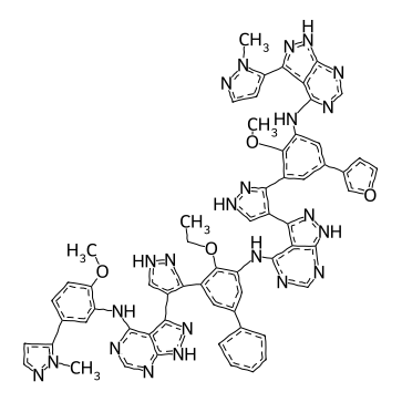 CCOc1c(Nc2ncnc3[nH]nc(-c4c[nH]nc4-c4cc(-c5ccoc5)cc(Nc5ncnc6[nH]nc(-c7ccnn7C)c56)c4OC)c23)cc(-c2ccccc2)cc1-c1n[nH]cc1-c1n[nH]c2ncnc(Nc3cc(-c4ccnn4C)ccc3OC)c12